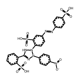 O=[N+]([O-])c1ccc(N2N=C(c3ccccc3S(=O)(=O)O)NN2c2ccc(N=Nc3ccc(S(=O)(=O)O)cc3)cc2S(=O)(=O)O)cc1